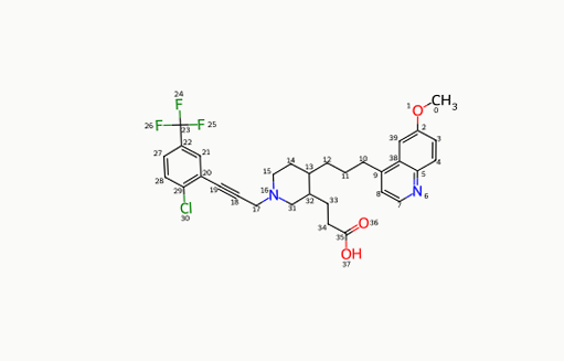 COc1ccc2nccc(CCCC3CCN(CC#Cc4cc(C(F)(F)F)ccc4Cl)CC3CCC(=O)O)c2c1